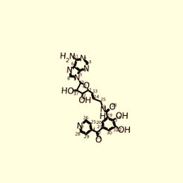 Nc1ncnc2c1ncn2C1OC(C=CCNC(=O)c2cc(C(=O)c3ccncc3)cc(O)c2O)C(O)C1O